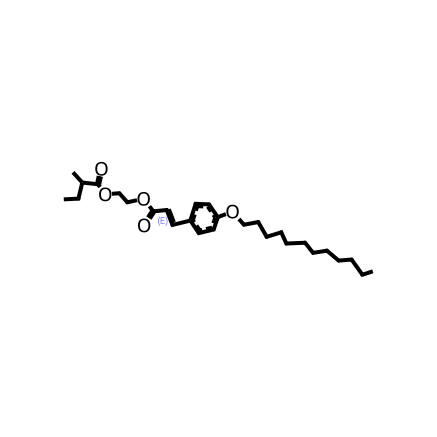 CCCCCCCCCCCCOc1ccc(/C=C/C(=O)OCCOC(=O)C(C)CC)cc1